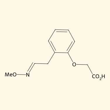 CO/N=C/Cc1ccccc1OCC(=O)O